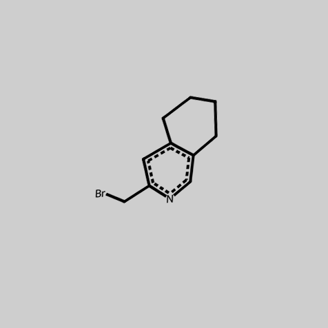 BrCc1cc2c(cn1)CCCC2